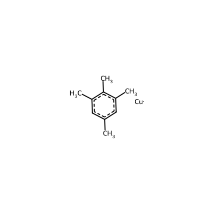 Cc1cc(C)c(C)c(C)c1.[Cu]